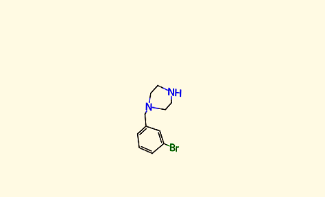 Brc1cccc(CN2CCNCC2)c1